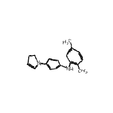 Cc1ccc(C)c(Nc2ccc(N3C=CCC3)cc2)c1